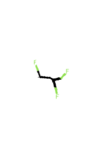 F[CH]C(F)F